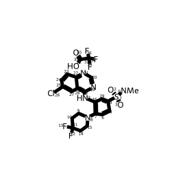 CNS(=O)(=O)c1ccc(N2CCC(F)(F)CC2)c(Nc2ncnc3ccc(Cl)cc23)c1.O=C(O)C(F)(F)F